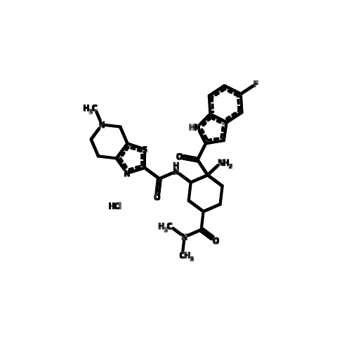 CN1CCc2nc(C(=O)NC3CC(C(=O)N(C)C)CCC3(N)C(=O)c3cc4cc(F)ccc4[nH]3)sc2C1.Cl